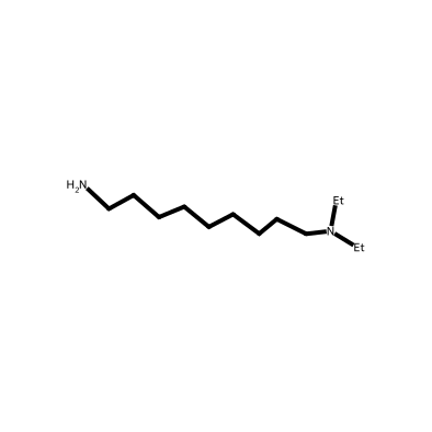 CCN(CC)CCCCCCCCCN